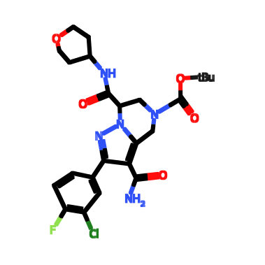 CC(C)(C)OC(=O)N1Cc2c(C(N)=O)c(-c3ccc(F)c(Cl)c3)nn2C(C(=O)NC2CCOCC2)C1